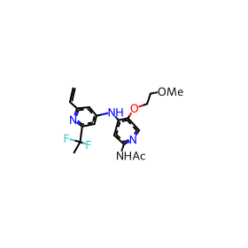 C=Cc1cc(Nc2cc(NC(C)=O)ncc2OCCOC)cc(C(C)(F)F)n1